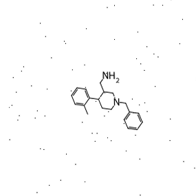 Cc1ccccc1C1CCN(Cc2ccccc2)CC1CN